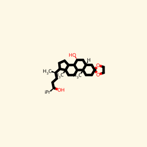 CC(C)[C@H](O)CC[C@@H](C)C1CCC2C3C(CC[C@@]21C)[C@@]1(C)CCC2(C[C@@H]1C[C@H]3O)OCCO2